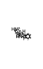 O=S(=O)(Nc1cc2ccccc2[nH]1)N1CCNCC1